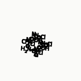 Cn1cncc1C(O)(c1ccc(Cl)cc1)c1ccc2nc(Cl)c(-c3ccccc3)c(Cl)c2c1.Cn1cncc1C(O)(c1ccc(Cl)cc1)c1ccc2nc(OCCN)c(-c3ccccc3)c(Cl)c2c1